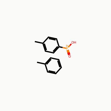 Cc1ccc([PH](=O)O)cc1.Cc1ccccc1